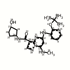 BC(B)(B)Oc1ncccc1Nc1cc(NC)n2ncc(C(=O)N[C@H]3CC[C@H](O)C3)c2n1